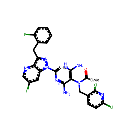 C=C(/N=C(/N)C(=C(N)N)N(Cc1ccc(Cl)nc1Cl)C(=O)OC)n1nc(Cc2ccccc2F)c2ncc(F)cc21